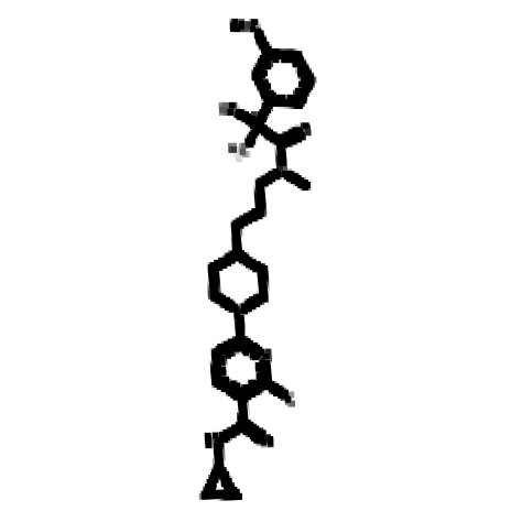 COc1cccc([C@@](O)(C(=O)N(C)CCCC2CCN(c3ccc(C(=O)NC4CC4)c(Cl)n3)CC2)C(F)(F)F)c1